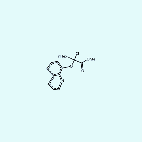 CCCCCCC(Cl)(Oc1cccc2cccnc12)C(=O)OC